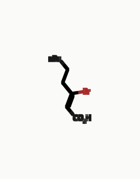 CCCCCCC(Br)=CC(=O)O